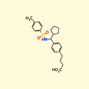 Cc1ccc(S(=O)(=O)NC(c2ccc(CCCC(=O)O)cc2)C2CCCC2)cc1